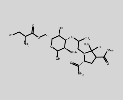 COC(=O)C1C[C@H](C(N)=O)N(CC(C)O[C@H]2[C@H](O)[C@@H](COC(=O)[C@@H](N)CC(C)C)O[C@H](O)[C@@H]2NC(C)=O)C1(N)C(C)C